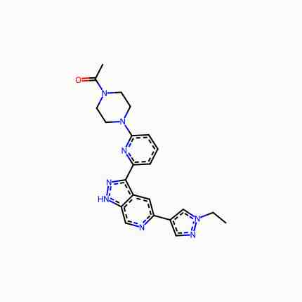 CCn1cc(-c2cc3c(-c4cccc(N5CCN(C(C)=O)CC5)n4)n[nH]c3cn2)cn1